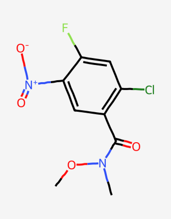 CON(C)C(=O)c1cc([N+](=O)[O-])c(F)cc1Cl